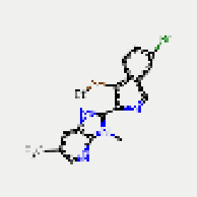 CCSc1c(-c2nc3cc(C(F)(F)F)cnc3n2C)ncc2cc(Br)ccc12